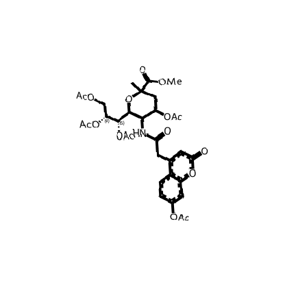 COC(=O)C1(C)CC(OC(C)=O)C(NC(=O)Cc2cc(=O)oc3cc(OC(C)=O)ccc23)C([C@H](OC(C)=O)[C@@H](COC(C)=O)OC(C)=O)O1